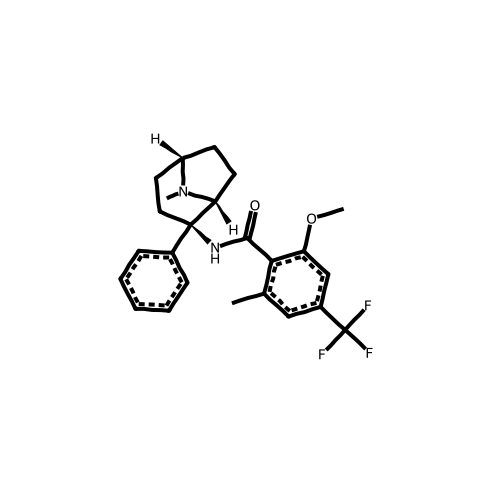 COc1cc(C(F)(F)F)cc(C)c1C(=O)N[C@@]1(c2ccccc2)CC[C@@H]2CC[C@H]1N2C